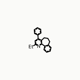 CCc1cc(-c2ccccc2)c2c(n1)-c1ccccc1CCC2